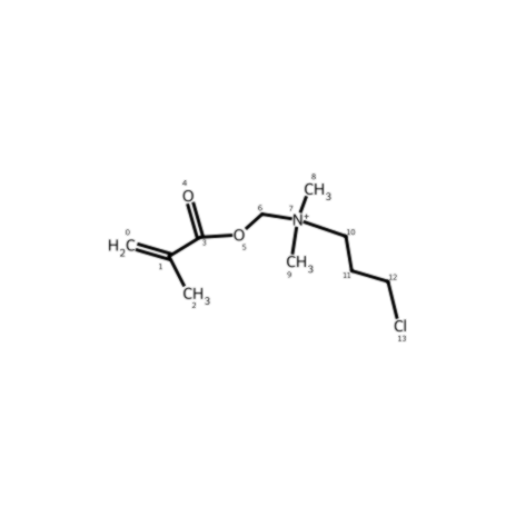 C=C(C)C(=O)OC[N+](C)(C)CCCCl